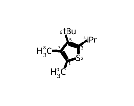 Cc1sc(C(C)C)c(C(C)(C)C)c1C